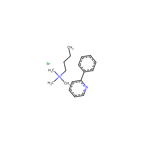 CCCC[N+](C)(C)C.[Br-].c1ccc(-c2ccccn2)cc1